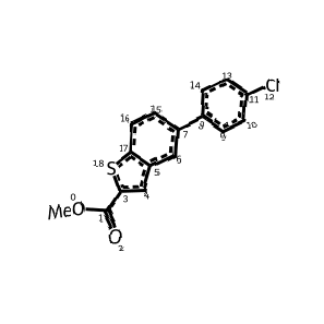 COC(=O)c1cc2cc(-c3ccc(Cl)cc3)ccc2s1